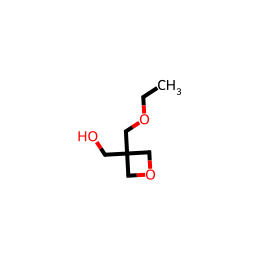 CCOCC1(CO)COC1